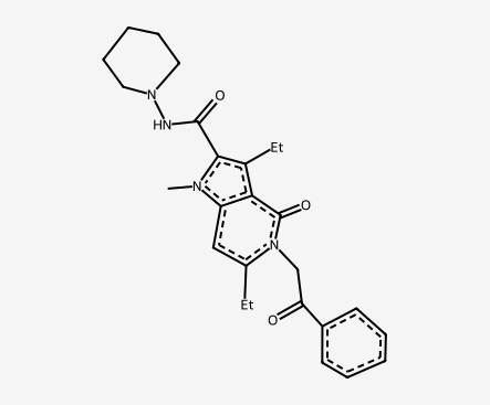 CCc1c(C(=O)NN2CCCCC2)n(C)c2cc(CC)n(CC(=O)c3ccccc3)c(=O)c12